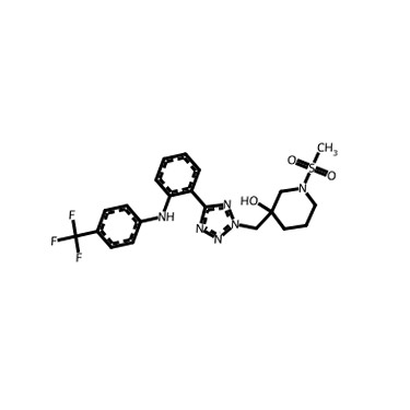 CS(=O)(=O)N1CCCC(O)(Cn2nnc(-c3ccccc3Nc3ccc(C(F)(F)F)cc3)n2)C1